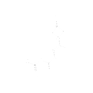 CC(ON=[N+]([O-])N1CC(C(=O)O)C1)OC(=O)C(C)(C)C